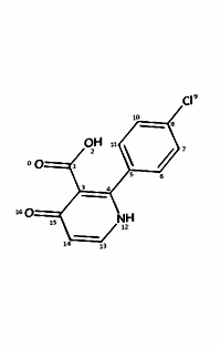 O=C(O)c1c(-c2ccc(Cl)cc2)[nH]ccc1=O